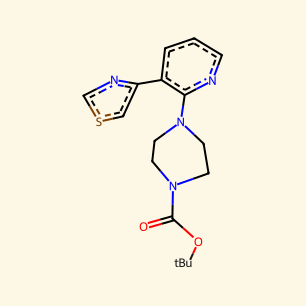 CC(C)(C)OC(=O)N1CCN(c2ncccc2-c2cscn2)CC1